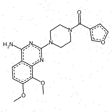 COc1ccc2c(N)nc(N3CCN(C(=O)c4ccoc4)CC3)nc2c1OC